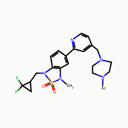 CC(=O)N1CCN(Cc2ccnc(-c3ccc4c(c3)N(C)S(=O)(=O)N4CC3CC3(F)F)c2)CC1